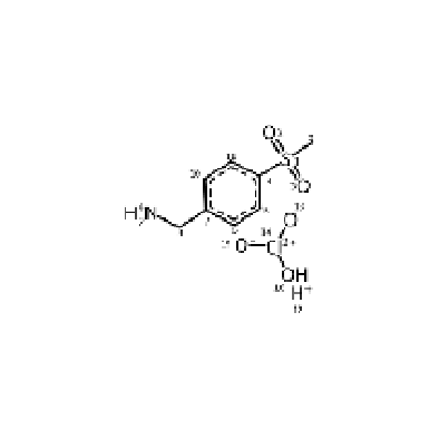 CS(=O)(=O)c1ccc(CN)cc1.[H+].[O-][Cl+2]([O-])O